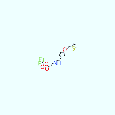 O=C(CCNCCc1ccc(OCCc2cccs2)cc1)OC(=O)C(F)(F)F